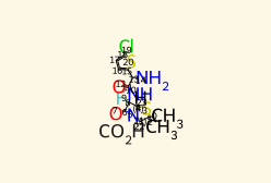 CC1(C)S[C@H]2N(C(=O)C2(F)NC(=O)C(N)c2ccc(Cl)s2)[C@H]1C(=O)O